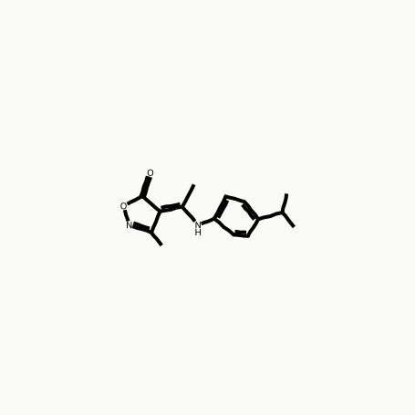 CC1=NOC(=O)C1=C(C)Nc1ccc(C(C)C)cc1